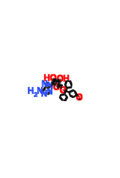 COc1ccc(C(OC[C@H]2O[C@@H](n3cnc4c(N)ncnc43)[C@H](O)[C@@H]2O)(c2ccccc2)c2ccccc2)cc1